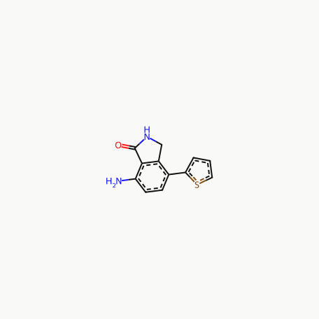 Nc1ccc(-c2cccs2)c2c1C(=O)NC2